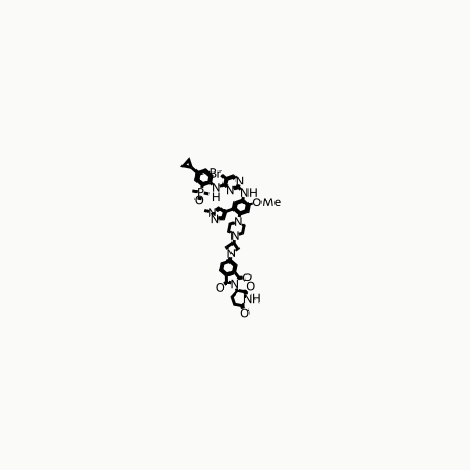 COc1cc(N2CCN(C3CN(c4ccc5c(c4)C(=O)N(C4CCC(=O)NC4=O)C5=O)C3)CC2)c(-c2cnn(C)c2)cc1Nc1ncc(Br)c(Nc2ccc(C3CC3)cc2P(C)(C)=O)n1